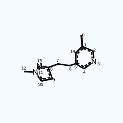 Cc1cncc(CCc2ccn(C)n2)c1